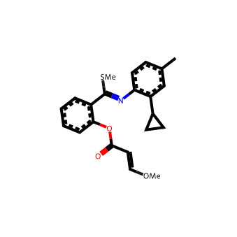 COC=CC(=O)Oc1ccccc1C(=Nc1ccc(C)cc1C1CC1)SC